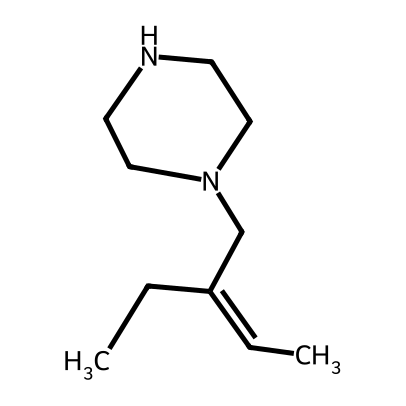 C/C=C(/CC)CN1CCNCC1